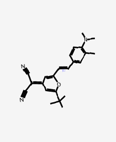 Cc1cc(/C=C/C2=CC(=C(C#N)C#N)C=C(C(C)(C)C)O2)ccc1N(C)C